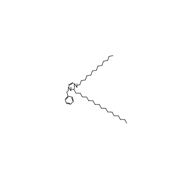 CCCCCCCCCCCCCCCCCC1N(CCCCCCCCCCCCC)C=CN1Cc1ccccc1